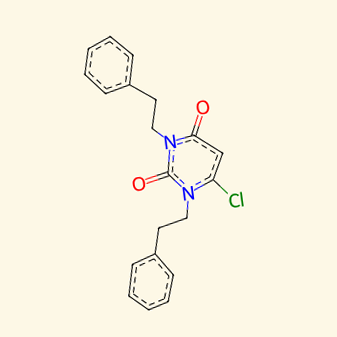 O=c1cc(Cl)n(CCc2ccccc2)c(=O)n1CCc1ccccc1